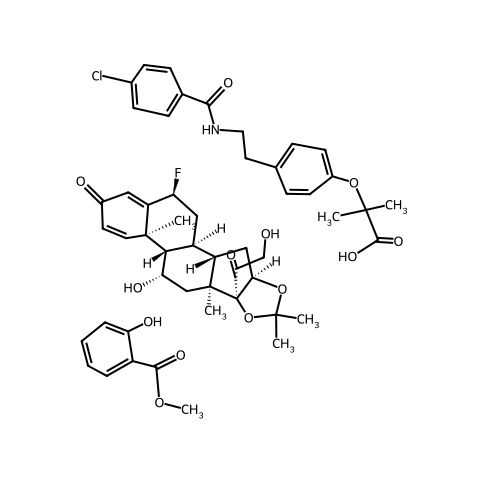 CC(C)(Oc1ccc(CCNC(=O)c2ccc(Cl)cc2)cc1)C(=O)O.CC1(C)O[C@@H]2C[C@H]3[C@@H]4C[C@H](F)C5=CC(=O)C=C[C@]5(C)[C@H]4[C@@H](O)C[C@]3(C)[C@]2(C(=O)CO)O1.COC(=O)c1ccccc1O